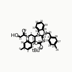 Cc1ccc(CC(CNC(=O)CO)n2c(=NC(=O)OC(C)(C)C)n(Cc3ccc(C)cc3)c3ccccc32)cc1